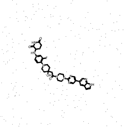 O=C1CCC(Nc2ccc(N3CCC(O)(CC(=O)N4CCN(c5ncc(-c6cnc7[nH]ccc7c6)cn5)CC4)CC3)c(F)c2)C(=O)N1